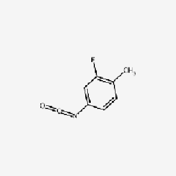 Cc1ccc(N=C=O)cc1F